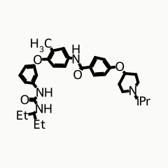 CCC(CC)NC(=O)Nc1cccc(Oc2ccc(NC(=O)c3ccc(OC4CCN(C(C)C)CC4)cc3)cc2C)c1